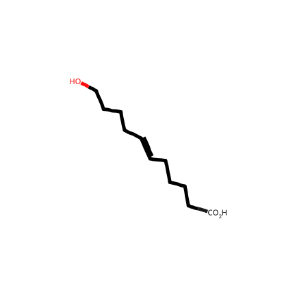 O=C(O)CCCCC=CCCCCO